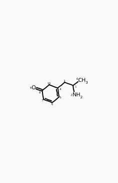 CC(N)CC1=CC=CC(=O)C1